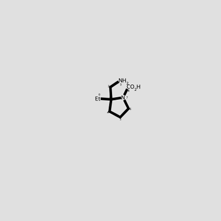 CCC1(CN)CCCN1C(=O)O